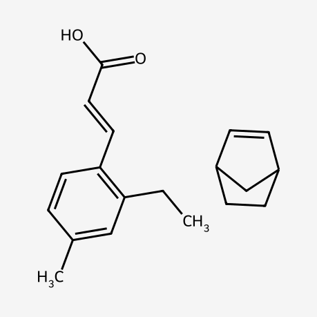 C1=CC2CCC1C2.CCc1cc(C)ccc1C=CC(=O)O